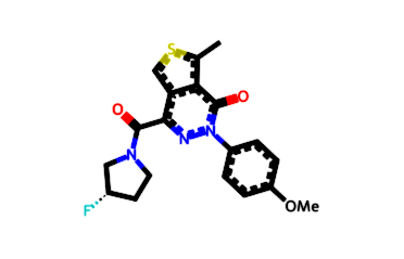 COc1ccc(-n2nc(C(=O)N3CC[C@H](F)C3)c3csc(C)c3c2=O)cc1